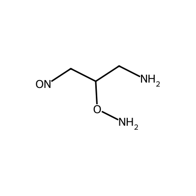 NCC(CN=O)ON